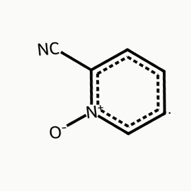 N#Cc1cc[c]c[n+]1[O-]